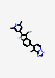 Cc1cc(-c2[nH]c3ccc(-c4ccn5ncnc5c4C)cc3c2C(C)C)cc(C)n1